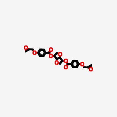 O=C(OC1COC2C(OC(=O)c3ccc(OCC4CO4)cc3)COC12)c1ccc(OCC2CO2)cc1